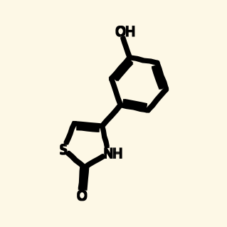 O=c1[nH]c(-c2cccc(O)c2)cs1